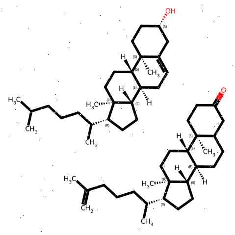 C=C(C)CCCC(C)[C@H]1CC[C@H]2[C@@H]3CCC4CC(=O)CC[C@]4(C)[C@H]3CC[C@]12C.CC(C)CCCC(C)[C@H]1CC[C@H]2[C@@H]3CC=C4C[C@@H](O)CC[C@]4(C)[C@H]3CC[C@]12C